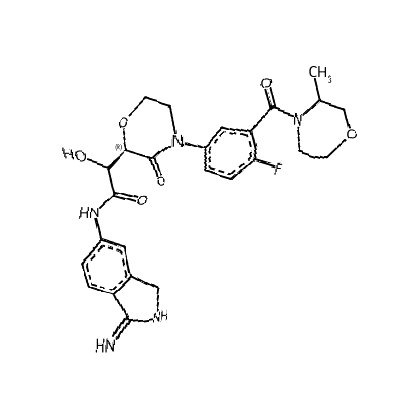 CC1COCCN1C(=O)c1cc(N2CCO[C@H](C(O)C(=O)Nc3ccc4c(c3)CNC4=N)C2=O)ccc1F